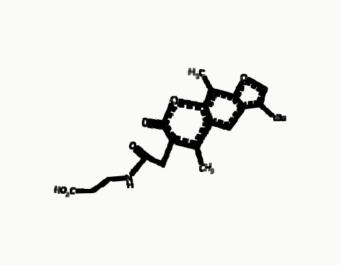 Cc1c(CC(=O)NCCC(=O)O)c(=O)oc2c(C)c3occ(C(C)(C)C)c3cc12